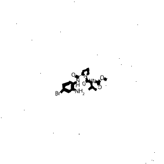 COC(=O)N[C@@H](C(=O)N1CCC[C@H]1C(=O)Nc1ccc(Br)cc1N)C(C)C